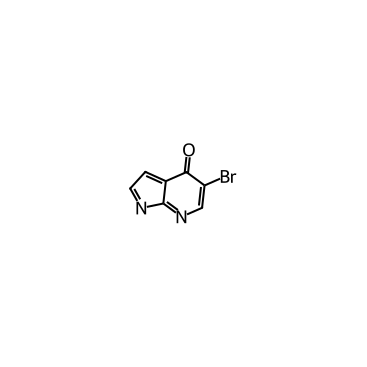 O=C1C(Br)=CN=C2N=CC=C12